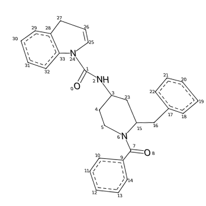 O=C(NC1CCN(C(=O)c2ccccc2)C(Cc2ccccc2)C1)N1C=CCc2ccccc21